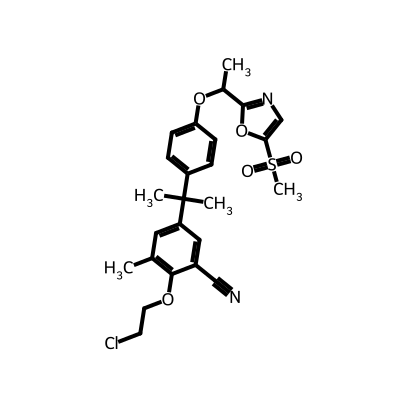 Cc1cc(C(C)(C)c2ccc(OC(C)c3ncc(S(C)(=O)=O)o3)cc2)cc(C#N)c1OCCCl